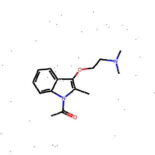 CC(=O)n1c(C)c(OCCN(C)C)c2ccccc21